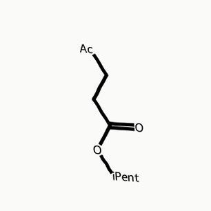 CCCC(C)OC(=O)CCC(C)=O